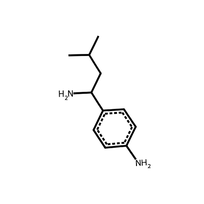 CC(C)CC(N)c1ccc(N)cc1